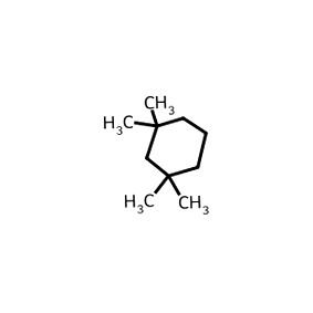 CC1(C)CCCC(C)(C)C1